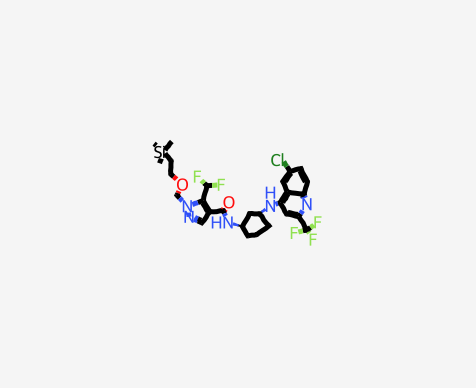 C[Si](C)(C)CCOCn1ncc(C(=O)N[C@@H]2CCC[C@H](Nc3cc(C(F)(F)F)nc4ccc(Cl)cc34)C2)c1C(F)F